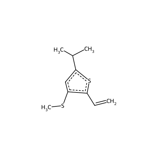 C=Cc1sc(C(C)C)cc1SC